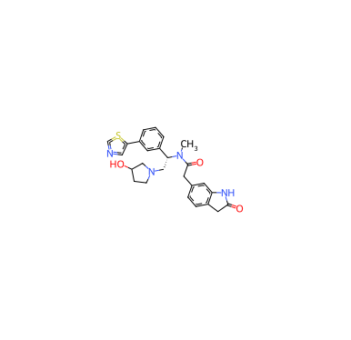 CN(C(=O)Cc1ccc2c(c1)NC(=O)C2)[C@H](CN1CCC(O)C1)c1cccc(-c2cncs2)c1